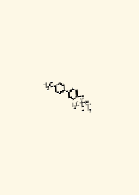 CCC(C)(C)Oc1ccc(-c2ccc(C)cc2)cc1